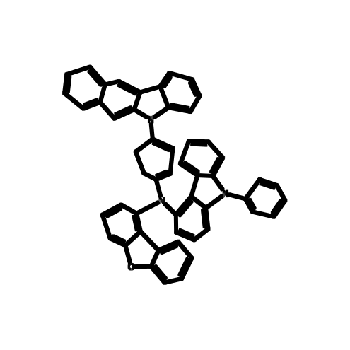 C1=C(N(c2cccc3oc4ccccc4c23)c2cccc3c2c2ccccc2n3-c2ccccc2)CCC(n2c3ccccc3c3cc4ccccc4cc32)=C1